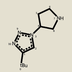 CC(C)(C)c1cn(C2CCNC2)nn1